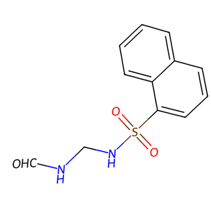 O=CNCNS(=O)(=O)c1cccc2ccccc12